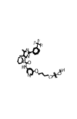 Cc1nc(-c2cccc(C(F)(F)F)c2)nc2c1N1CCCC(C1)N2C(=O)Nc1cncc(OCCCCOC(C)(C)OS)c1